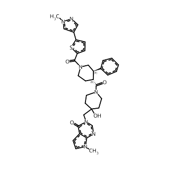 Cn1cc(-c2ccc(C(=O)N3CC[C@@H](C(=O)N4CCC(O)(Cn5cnc6c(ccn6C)c5=O)CC4)[C@H](c4ccccc4)C3)s2)cn1